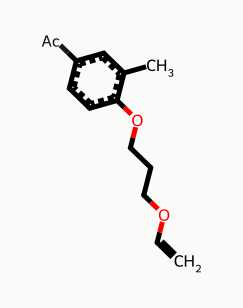 C=COCCCOc1ccc(C(C)=O)cc1C